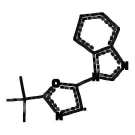 CC(C)(C)c1n[c]c(-n2cnc3ccccc32)o1